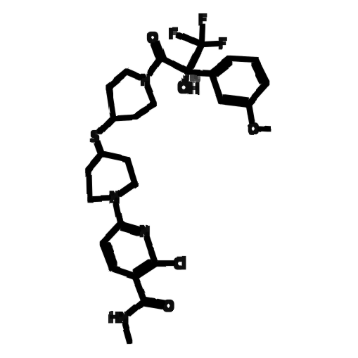 CNC(=O)c1ccc(N2CCC(SC3CCN(C(=O)[C@](O)(c4cccc(OC)c4)C(F)(F)F)CC3)CC2)nc1Cl